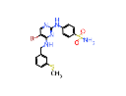 CSc1cccc(CNc2nc(Nc3ccc(S(N)(=O)=O)cc3)ncc2Br)c1